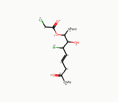 CCCCCC(OC(=O)CCl)C(O)C(Br)/C=C/CC(=O)OC